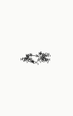 CNC(=O)c1nnc(Nc2ccc(C#CC3CCN(CCCCC(=O)N[C@H](C(=O)N4C[C@H](O)C[C@H]4C(=O)N[C@@H](C)c4ccc(-c5scnc5C)cc4)C(C)(C)C)CC3)cn2)cc1Nc1cccc(-c2ncn(C)n2)c1OC